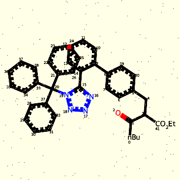 CCCCC(=O)C(Cc1ccc(-c2ccccc2-c2nnnn2C(c2ccccc2)(c2ccccc2)c2ccccc2)cc1)C(=O)OCC